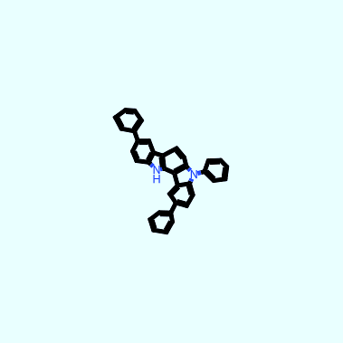 c1ccc(-c2ccc3[nH]c4c(ccc5c4c4cc(-c6ccccc6)ccc4n5-c4ccccc4)c3c2)cc1